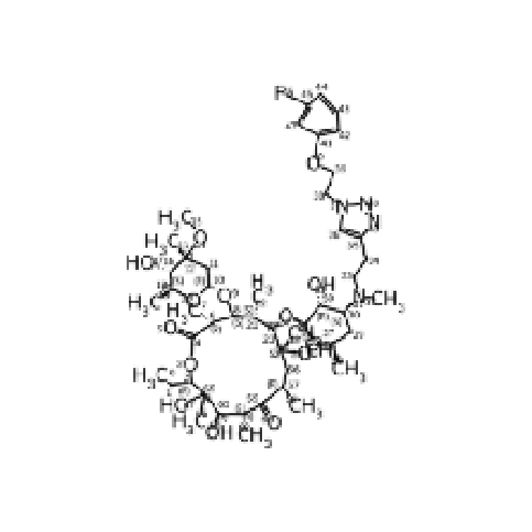 CC[C@H]1OC(=O)[C@H](C)[C@@H](O[C@H]2C[C@@](C)(OC)[C@@H](O)[C@H](C)O2)[C@H](C)[C@@H](O[C@@H]2O[C@H](C)C[C@H](N(C)CCc3cn(CCOc4cccc(F)c4)nn3)[C@H]2O)[C@](C)(OC)C[C@@H](C)C(=O)[C@H](C)[C@@H](O)[C@]1(C)O